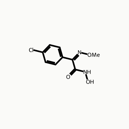 CON=C(C(=O)NO)c1ccc(Cl)cc1